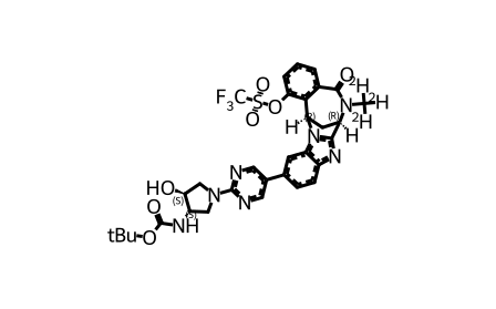 [2H]C([2H])([2H])N1C(=O)c2cccc(OS(=O)(=O)C(F)(F)F)c2[C@H]2C[C@@H]1c1nc3ccc(-c4cnc(N5C[C@H](NC(=O)OC(C)(C)C)[C@@H](O)C5)nc4)cc3n12